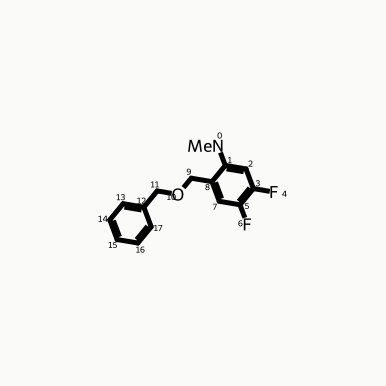 CNc1cc(F)c(F)cc1COCc1ccccc1